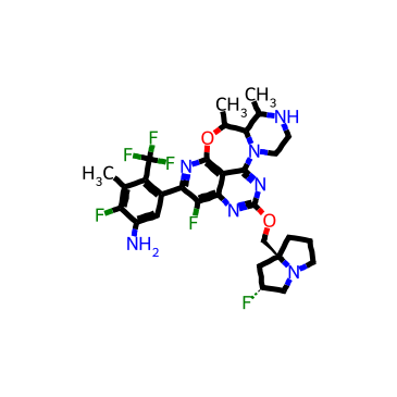 Cc1c(F)c(N)cc(-c2nc3c4c(nc(OC[C@@]56CCCN5C[C@H](F)C6)nc4c2F)N2CCNC(C)C2C(C)O3)c1C(F)(F)F